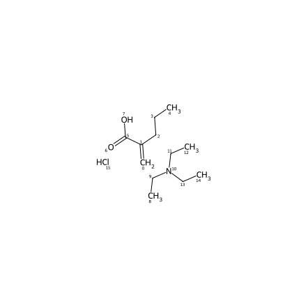 C=C(CCC)C(=O)O.CCN(CC)CC.Cl